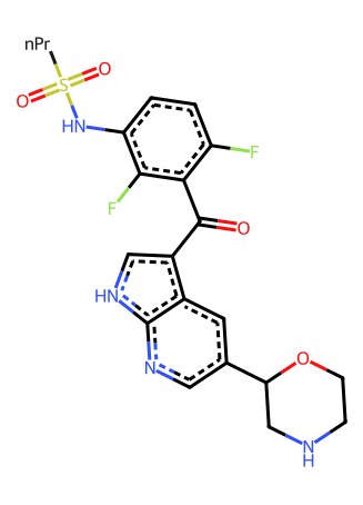 CCCS(=O)(=O)Nc1ccc(F)c(C(=O)c2c[nH]c3ncc(C4CNCCO4)cc23)c1F